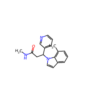 CNC(=O)CC(c1cccnc1)n1ccc2cccc(C)c21